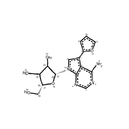 Nc1ncnc2c1c(-c1ccco1)cn2[C@@H]1O[C@H](CO)C(O)C1O